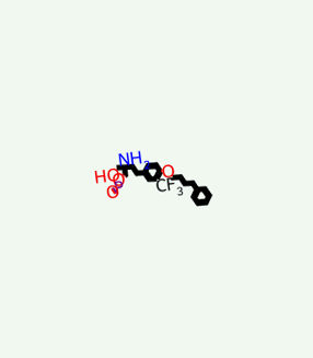 NC(CO)(CCc1ccc(OCCCCc2ccccc2)c(C(F)(F)F)c1)COP=O